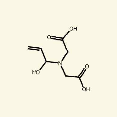 C=CC(O)N(CC(=O)O)CC(=O)O